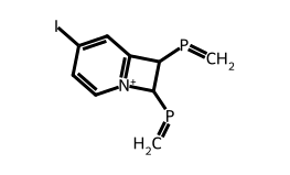 C=PC1c2cc(I)cc[n+]2C1P=C